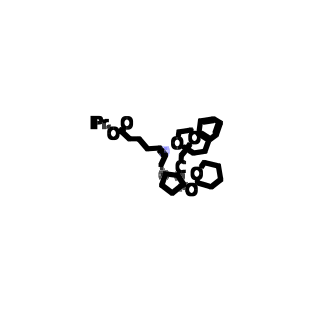 CC(C)OC(=O)CCC/C=C\C[C@H]1CC[C@@H](OC2CCCCO2)[C@@H]1CCC1(CCc2ccccc2)OCCO1